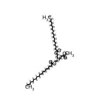 CCCCCCCCCCCCCCCCCC(=O)OCCN(CCOC(=O)CCCCCCCCCCCCCCCCC)CCC(=O)OC